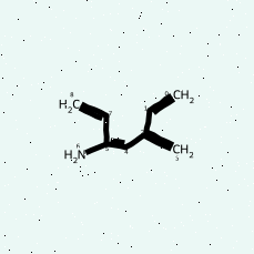 C=CC(=C)/C=C(/N)C=C